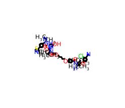 Cc1ncsc1-c1ccc([C@H](CN(C)C)NC(=O)[C@@H]2C[C@@H](O)CN2C(=O)[C@@H](NC(=O)COCCCCCOc2ccc(C(=O)NC3C(C)(C)C(Oc4ccc(C#N)c(Cl)c4)C3(C)C)cc2)C(C)(C)C)cc1